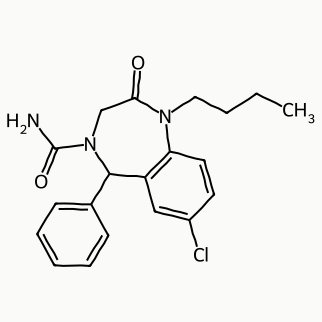 CCCCN1C(=O)CN(C(N)=O)C(c2ccccc2)c2cc(Cl)ccc21